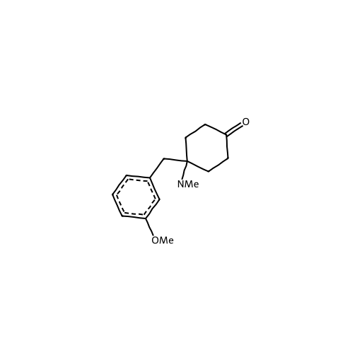 CNC1(Cc2cccc(OC)c2)CCC(=O)CC1